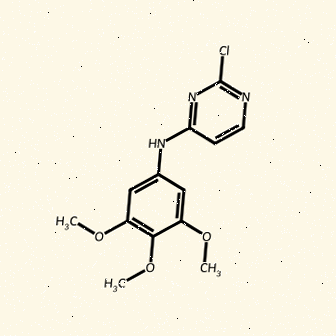 COc1cc(Nc2ccnc(Cl)n2)cc(OC)c1OC